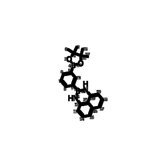 CC1(C)OB(c2cccc(B3Nc4cccc5cccc(c45)N3)c2)OC1(C)C